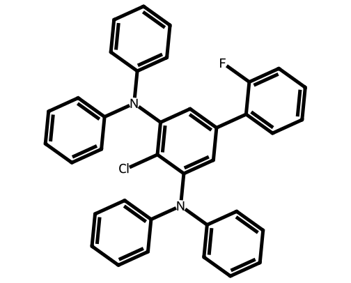 Fc1ccccc1-c1cc(N(c2ccccc2)c2ccccc2)c(Cl)c(N(c2ccccc2)c2ccccc2)c1